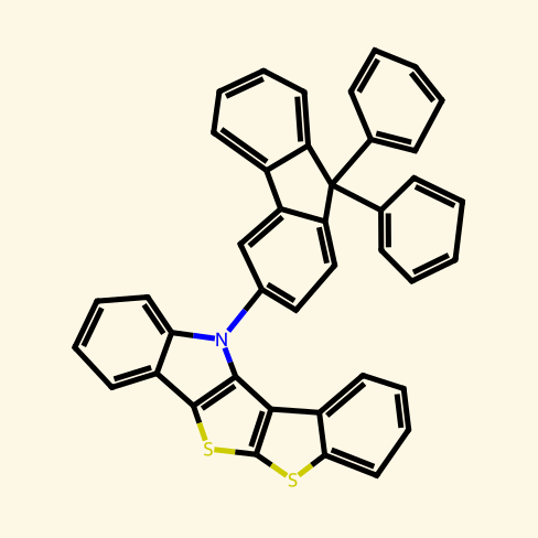 c1ccc(C2(c3ccccc3)c3ccccc3-c3cc(-n4c5ccccc5c5sc6sc7ccccc7c6c54)ccc32)cc1